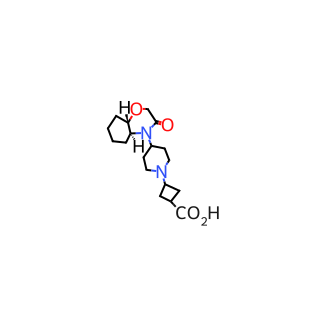 O=C(O)C1CC(N2CCC(N3C(=O)CO[C@H]4CCCC[C@@H]43)CC2)C1